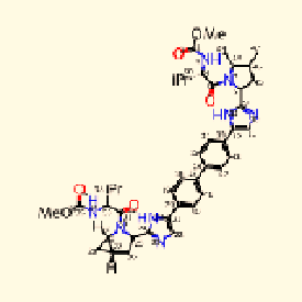 COC(=O)N[C@H](C(=O)N1C(c2ncc(-c3ccc(-c4ccc(-c5cnc(C6C[C@@H]7C[C@@H]7N6C(=O)[C@@H](NC(=O)OC)C(C)C)[nH]5)cc4)cc3)[nH]2)CC(C)[C@@H]1C)C(C)C